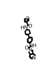 O=C(NC1CC=C(c2ccc(NC(=O)N3Cc4ccncc4C3)cc2)CC1)c1ccoc1